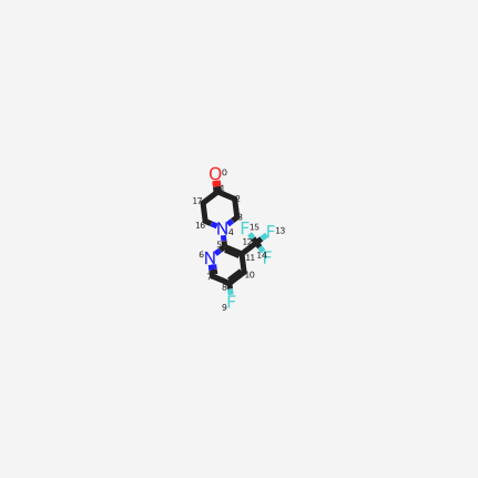 O=C1CCN(c2ncc(F)cc2C(F)(F)F)CC1